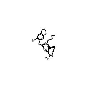 CCCCn1c(Sc2cc3c(cc2Br)OCO3)nc2c(N)nccc21